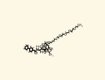 CCCOCCOCCOCCOCCOCCSCCCO[C@]1(C(=O)O)C[C@H](O)[C@@H](NC(C)=O)[C@H]([C@H](O)[C@H](O)CNC(=O)c2ccc(-c3ccccc3)cc2)O1